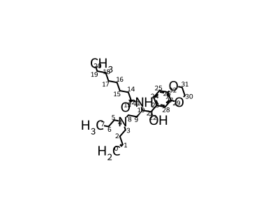 C=CCCN(CCC)CC[C@@H](NC(=O)CCCCCCC)[C@H](O)c1ccc2c(c1)OCCO2